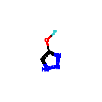 FOc1c[nH]nn1